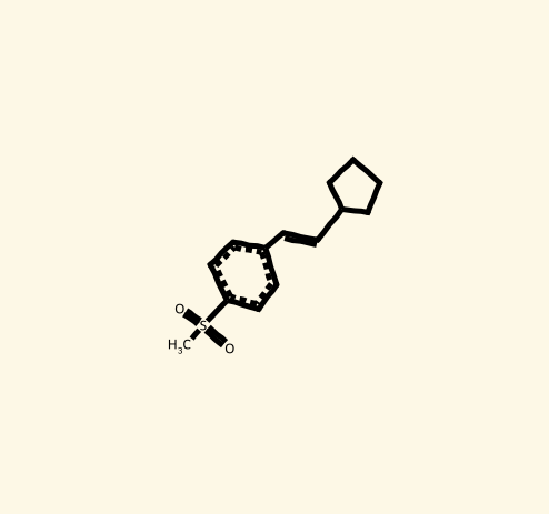 CS(=O)(=O)c1ccc(/C=C/C2CCCC2)cc1